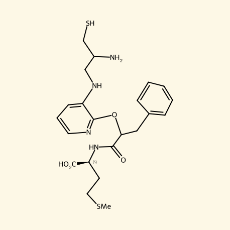 CSCC[C@H](NC(=O)C(Cc1ccccc1)Oc1ncccc1NCC(N)CS)C(=O)O